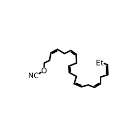 CC/C=C\C/C=C\C/C=C\C/C=C\C/C=C\C/C=C\CCOC#N